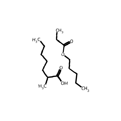 CCCCCC(C)C(=O)O.CCCCCOC(=O)CC